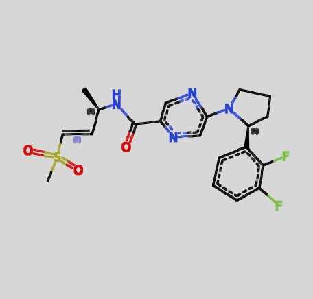 C[C@H](/C=C/S(C)(=O)=O)NC(=O)c1cnc(N2CCC[C@H]2c2cccc(F)c2F)cn1